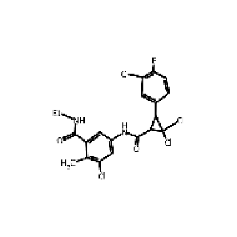 CCNC(=O)c1cc(NC(=O)C2C(c3ccc(F)c(Cl)c3)C2(Cl)Cl)cc(Cl)c1C